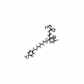 COc1ccc(CCCCCCCCOc2ccc(C)[n+]([O-])c2C=CCC(=O)O)cc1